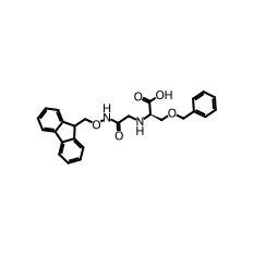 O=C(CN[C@H](COCc1ccccc1)C(=O)O)NOCC1c2ccccc2-c2ccccc21